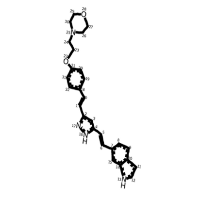 C(=Cc1cc(/C=C/c2ccc3cc[nH]c3c2)[nH]n1)c1ccc(OCCN2CCOCC2)cc1